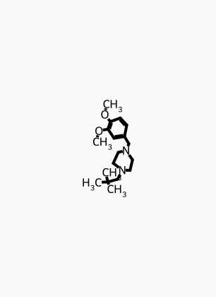 COc1ccc(CN2CCN(CC(C)(C)C)CC2)cc1OC